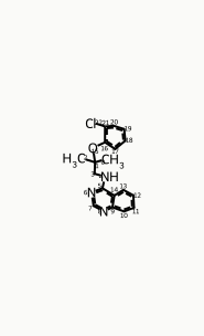 CC(C)(CNc1ncnc2ccccc12)Oc1ccccc1Cl